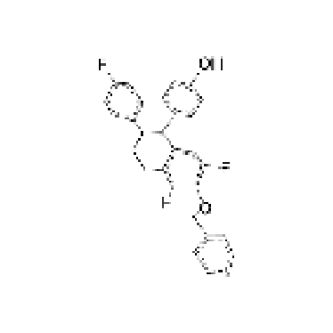 Oc1ccc(C2=C(c3ccc(F)cc3)CCc3c2cc(F)c(OCc2ccccc2)c3F)cc1